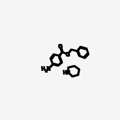 C1CCNCC1.Nc1ccc(C(=O)OCc2ccccc2)cc1